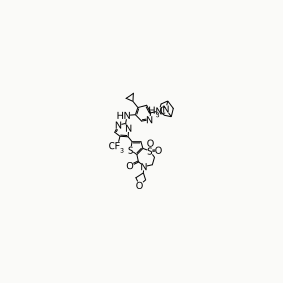 CN1C2CC1CN(c1cc(C3CC3)c(Nc3ncc(C(F)(F)F)c(-c4cc5c(s4)C(=O)N(C4COC4)CCS5(=O)=O)n3)cn1)C2